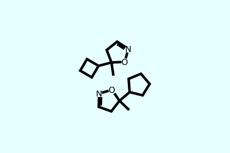 CC1(C2CCC2)CC=NO1.CC1(C2CCCC2)CC=NO1